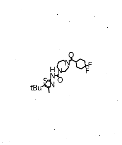 Cc1nc(NC(=O)N2CCCN(C(=O)C3CCC(F)(F)CC3)CC2)sc1C(C)(C)C